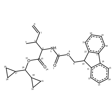 C=CC(C)C(NC(=O)OCC1c2ccccc2-c2ccccc21)C(=O)OC(C1CC1)C1CC1